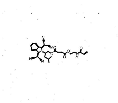 C=CC(=O)NCCOC(=O)CCC(=O)OCC(CC(C)C)n1c(=C(C#N)C#N)c2ccccc2c1=C(C#N)C#N